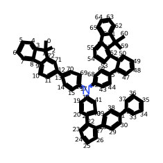 CC1(C)c2ccccc2-c2ccc(-c3ccc(N(c4ccc(-c5ccccc5-c5ccc(-c6ccccc6)cc5)cc4)c4ccc(-c5ccccc5-c5cccc6c5C(C)(C)c5ccccc5-6)cc4)cc3)cc21